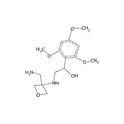 COc1cc(OC)c(C(O)CNC2(CN)COC2)c(OC)c1